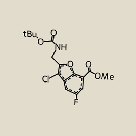 COC(=O)c1cc(F)cc2c(Cl)c(CNC(=O)OC(C)(C)C)oc12